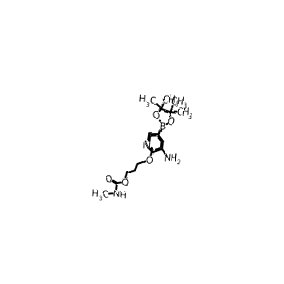 CNC(=O)OCCCOc1ncc(B2OC(C)(C)C(C)(C)O2)cc1N